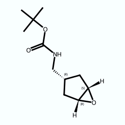 CC(C)(C)OC(=O)NC[C@@H]1C[C@@H]2O[C@@H]2C1